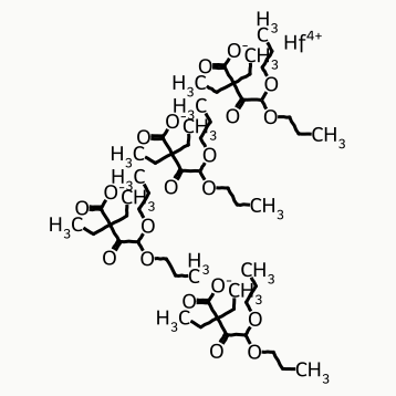 CCCOC(OCCC)C(=O)C(CC)(CC)C(=O)[O-].CCCOC(OCCC)C(=O)C(CC)(CC)C(=O)[O-].CCCOC(OCCC)C(=O)C(CC)(CC)C(=O)[O-].CCCOC(OCCC)C(=O)C(CC)(CC)C(=O)[O-].[Hf+4]